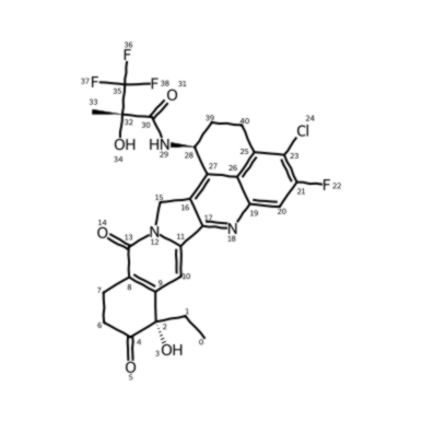 CC[C@@]1(O)C(=O)CCc2c1cc1n(c2=O)Cc2c-1nc1cc(F)c(Cl)c3c1c2[C@@H](NC(=O)[C@](C)(O)C(F)(F)F)CC3